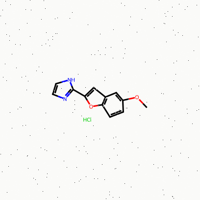 COc1ccc2oc(-c3ncc[nH]3)cc2c1.Cl